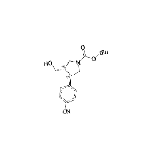 CC(C)(C)OC(=O)N1C[C@@H](CO)[C@H](c2ccc(C#N)cc2)C1